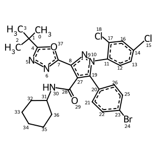 CC(C)(C)c1nnc(-c2nn(-c3ccc(Cl)cc3Cl)c(-c3ccc(Br)cc3)c2C(=O)NC2CCCCC2)o1